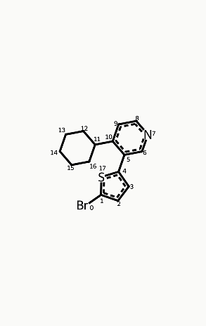 Brc1ccc(-c2cnccc2C2CCCCC2)s1